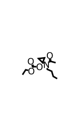 CCCCN(C(C)=O)C1(OC(=O)OCC)CC1